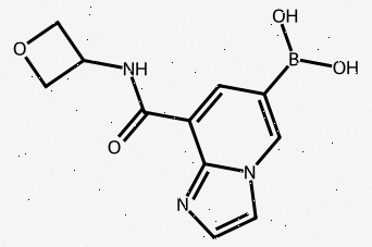 O=C(NC1COC1)c1cc(B(O)O)cn2ccnc12